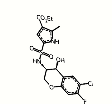 CCOC(=O)c1cc(S(=O)(=O)N[C@@H]2COc3cc(F)c(Cl)cc3[C@@H]2O)[nH]c1C